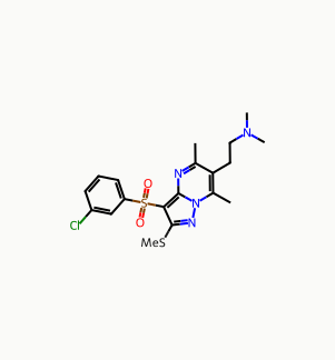 CSc1nn2c(C)c(CCN(C)C)c(C)nc2c1S(=O)(=O)c1cccc(Cl)c1